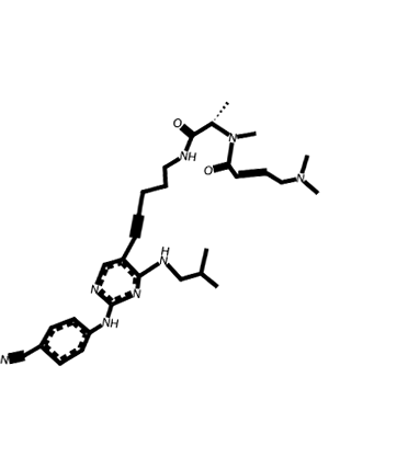 CC(C)CNc1nc(Nc2ccc(C#N)cc2)ncc1C#CCCCNC(=O)[C@H](C)N(C)C(=O)/C=C/CN(C)C